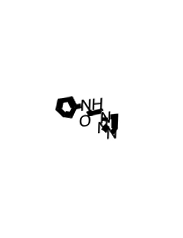 O=C(Cn1ccnn1)Nc1ccccc1